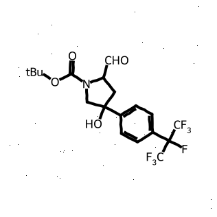 CC(C)(C)OC(=O)N1CC(O)(c2ccc(C(F)(C(F)(F)F)C(F)(F)F)cc2)CC1C=O